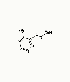 S[CH]Cc1ccccc1Br